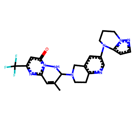 CC1=Cc2nc(C(F)(F)F)cc(=O)n2NC1N1CCc2ncc(N3CCCn4nccc43)cc2C1